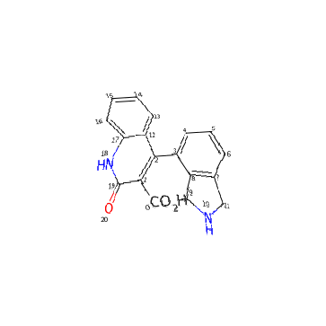 O=C(O)c1c(-c2cccc3c2CNC3)c2ccccc2[nH]c1=O